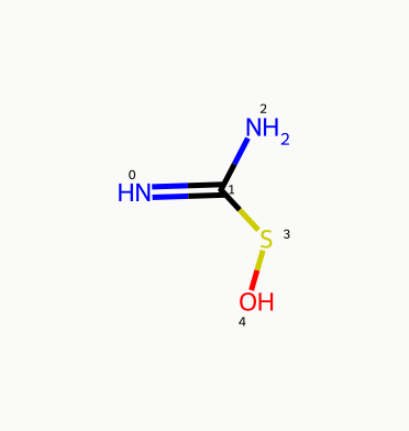 N=C(N)SO